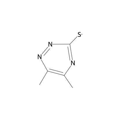 Cc1nnc([S])nc1C